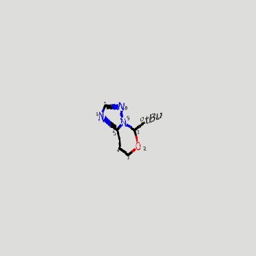 CC(C)(C)C1OCCc2ncnn21